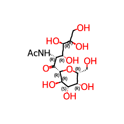 CC(=O)N[C@@H](C(=O)[C@@H]1O[C@H](CO)[C@H](O)[C@H](O)[C@H]1O)[C@@H](O)[C@@H](O)[C@H](O)CO